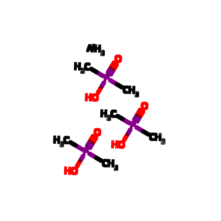 CP(C)(=O)O.CP(C)(=O)O.CP(C)(=O)O.[AlH3]